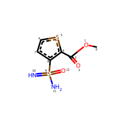 COC(=O)c1sccc1S(=N)(N)=O